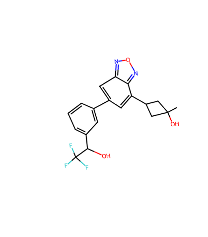 CC1(O)CC(c2cc(-c3cccc(C(O)C(F)(F)F)c3)cc3nonc23)C1